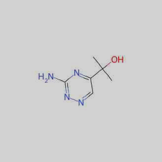 CC(C)(O)c1cnnc(N)n1